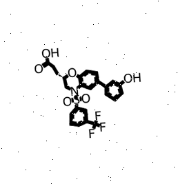 O=C(O)CC[C@H]1CN(S(=O)(=O)c2cccc(C(F)(F)F)c2)c2cc(-c3cccc(O)c3)ccc2O1